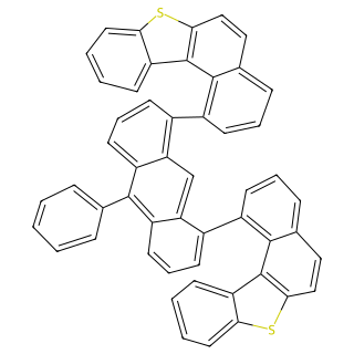 c1ccc(-c2c3cccc(-c4cccc5ccc6sc7ccccc7c6c45)c3cc3c(-c4cccc5ccc6sc7ccccc7c6c45)cccc23)cc1